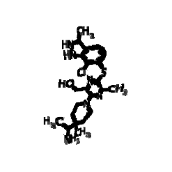 Cc1nc(N2CCC(C)(C(C)N)CC2)c(CO)nc1Sc1ccc2c(c1Cl)NNC2C